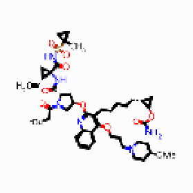 C=C[C@@H]1C[C@]1(NC(=O)[C@@H]1C[C@@H](Oc2nc3ccccc3c(OCCCN3CCC(OC)CC3)c2CCCCC[C@@H]2C[C@H]2OC(N)=O)CN1C(=O)CC(C)(C)C)C(=O)NS(=O)(=O)C1(C)CC1